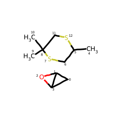 C1C2OC12.CC1CSC(C)(C)CS1